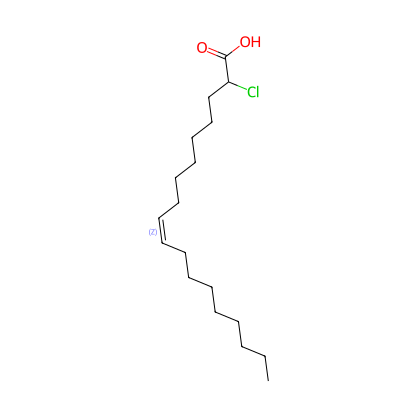 CCCCCCCC/C=C\CCCCCCC(Cl)C(=O)O